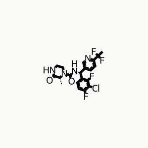 C[C@@H]1C(=O)NCCN1C(=O)N[C@H](c1ccc(C(C)(F)F)nc1)c1ccc(F)c(Cl)c1F